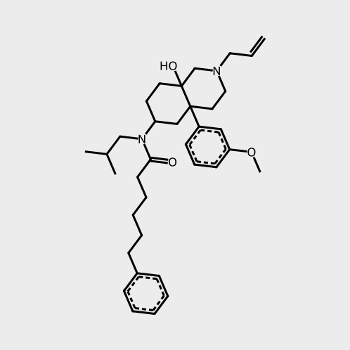 C=CCN1CCC2(c3cccc(OC)c3)CC(N(CC(C)C)C(=O)CCCCCc3ccccc3)CCC2(O)C1